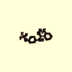 Cc1ccccc1C(=O)Nc1ccc(OC(F)(F)F)cc1